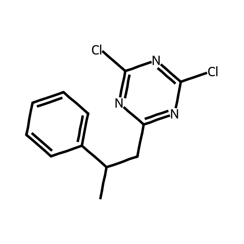 CC(Cc1nc(Cl)nc(Cl)n1)c1ccccc1